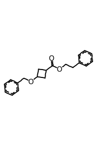 O=C(OCCc1ccccc1)C1CC(OCc2ccccc2)C1